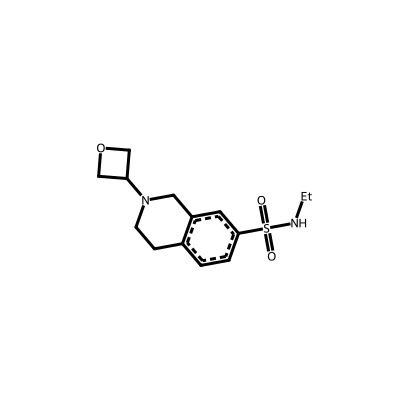 CCNS(=O)(=O)c1ccc2c(c1)CN(C1COC1)CC2